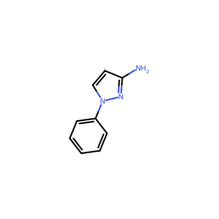 Nc1[c]cn(-c2ccccc2)n1